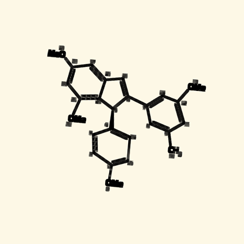 COc1ccc([C@@H]2C(c3cc(C)cc(OC)c3)=Cc3cc(OC)cc(OC)c32)cc1